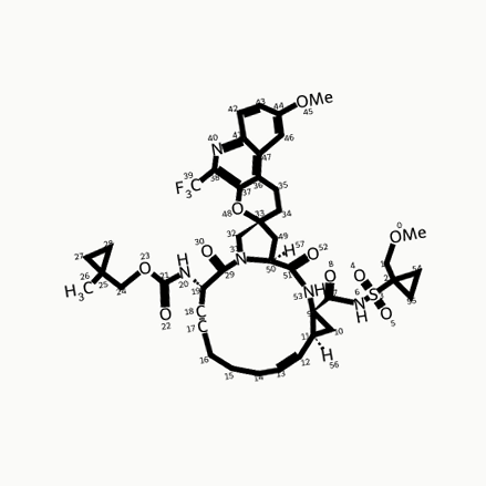 COCC1(S(=O)(=O)NC(=O)[C@@]23C[C@H]2/C=C\CCCCC[C@H](NC(=O)OCC2(C)CC2)C(=O)N2C[C@@]4(CCc5c(c(C(F)(F)F)nc6ccc(OC)cc56)O4)C[C@H]2C(=O)N3)CC1